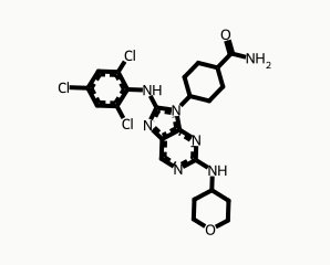 NC(=O)C1CCC(n2c(Nc3c(Cl)cc(Cl)cc3Cl)nc3cnc(NC4CCOCC4)nc32)CC1